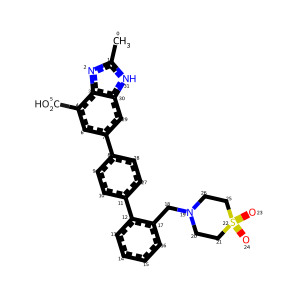 Cc1nc2c(C(=O)O)cc(-c3ccc(-c4ccccc4CN4CCS(=O)(=O)CC4)cc3)cc2[nH]1